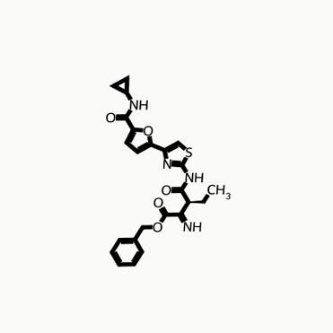 CC[C@@H](C(=N)C(=O)OCc1ccccc1)C(=O)Nc1nc(-c2ccc(C(=O)NC3CC3)o2)cs1